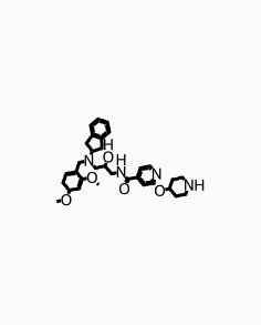 COC1=CC(OC)CC=C1CN(CC(O)CNC(=O)c1ccnc(OC2CCNCC2)c1)C1Cc2ccccc2C1